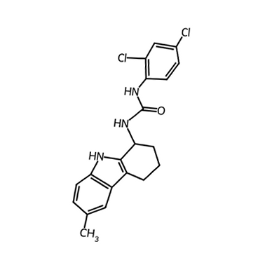 Cc1ccc2[nH]c3c(c2c1)CCCC3NC(=O)Nc1ccc(Cl)cc1Cl